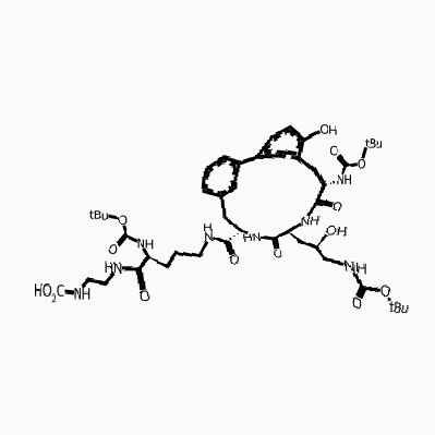 CC(C)(C)OC(=O)NC[C@H](O)C[C@@H]1NC(=O)[C@@H](NC(=O)OC(C)(C)C)Cc2cc(ccc2O)-c2cccc(c2)C[C@@H](C(=O)NCCC[C@H](NC(=O)OC(C)(C)C)C(=O)NCCNC(=O)O)NC1=O